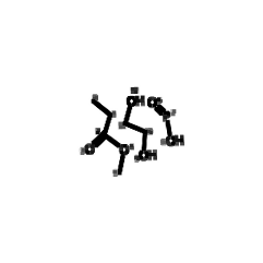 CCC(=O)OC.O=PO.OCCO